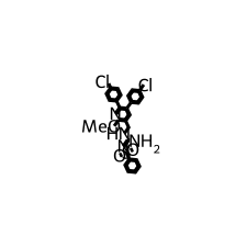 COc1nc(-c2ccc(Cl)cc2)c(-c2ccc(Cl)cc2)cc1CN/C(N)=N/S(=O)(=O)c1ccccc1